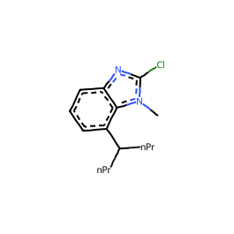 CCCC(CCC)c1cccc2nc(Cl)n(C)c12